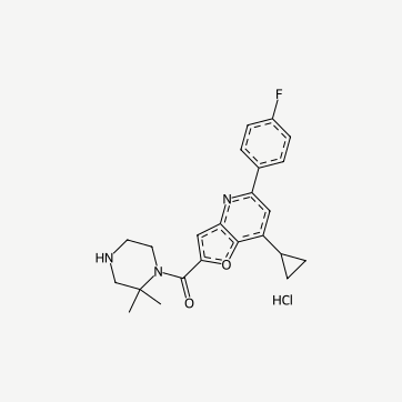 CC1(C)CNCCN1C(=O)c1cc2nc(-c3ccc(F)cc3)cc(C3CC3)c2o1.Cl